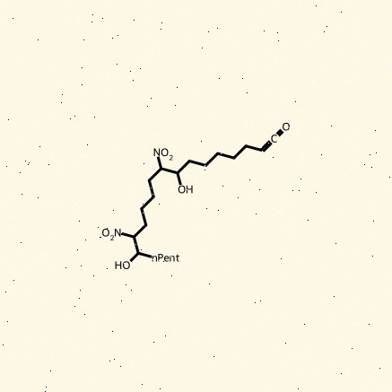 CCCCCC(O)C(CCCCC(C(O)CCCCCC=C=O)[N+](=O)[O-])[N+](=O)[O-]